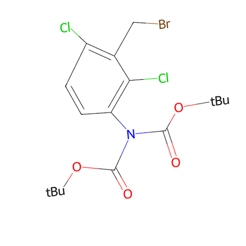 CC(C)(C)OC(=O)N(C(=O)OC(C)(C)C)c1ccc(Cl)c(CBr)c1Cl